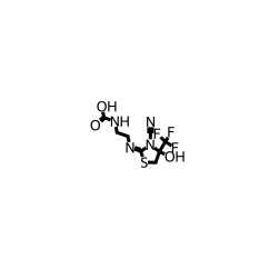 N#CN1C(=NCCNC(=O)O)SCC1(O)C(F)(F)F